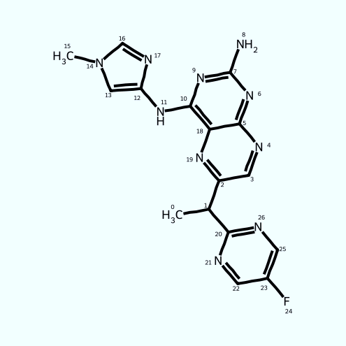 CC(c1cnc2nc(N)nc(Nc3cn(C)cn3)c2n1)c1ncc(F)cn1